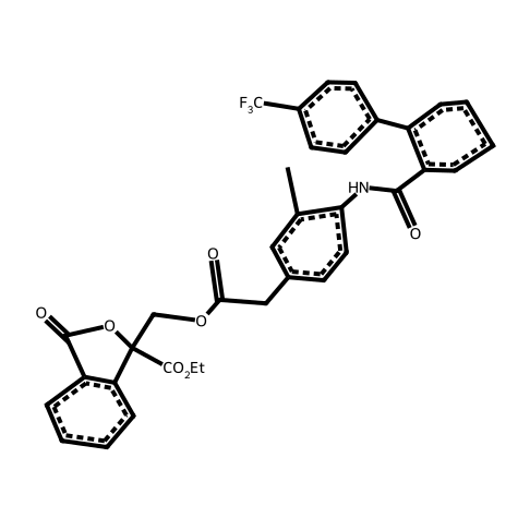 CCOC(=O)C1(COC(=O)Cc2ccc(NC(=O)c3ccccc3-c3ccc(C(F)(F)F)cc3)c(C)c2)OC(=O)c2ccccc21